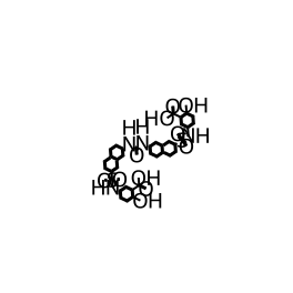 O=C(Nc1ccc2ccc(S(=O)(=O)Nc3ccc(O)c(C(=O)O)c3)cc2c1)Nc1ccc2ccc(S(=O)(=O)Nc3ccc(O)c(C(=O)O)c3)cc2c1